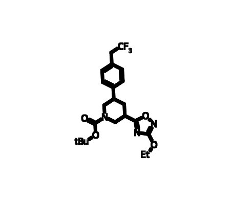 CCOc1noc(C2CC(c3ccc(CC(F)(F)F)cc3)CN(C(=O)OC(C)(C)C)C2)n1